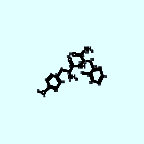 COc1ccc(C[C@H](N)C(=O)N[C@@H](Cc2ccccc2C)C(N)=O)cc1